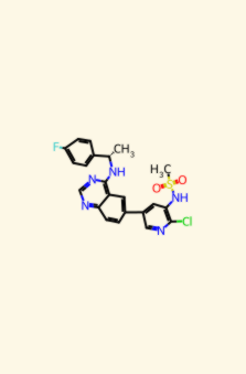 C[C@H](Nc1ncnc2ccc(-c3cnc(Cl)c(NS(C)(=O)=O)c3)cc12)c1ccc(F)cc1